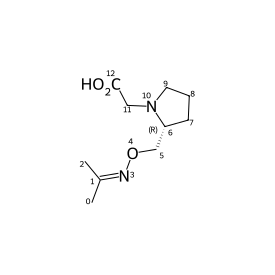 CC(C)=NOC[C@H]1CCCN1CC(=O)O